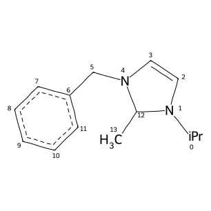 CC(C)N1C=CN(Cc2ccccc2)C1C